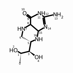 C[C@H](O)[C@H](O)[C@@H]1CNC2C(=O)NC(N)=NC2N1